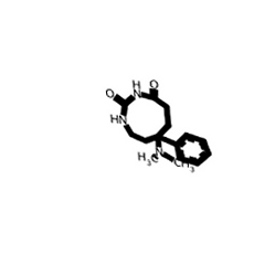 CN(C)C1(c2ccccc2)CCNC(=O)NC(=O)CC1